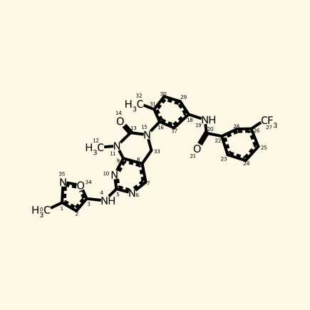 Cc1cc(Nc2ncc3c(n2)N(C)C(=O)N(c2cc(NC(=O)c4cccc(C(F)(F)F)c4)ccc2C)C3)on1